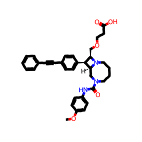 COc1ccc(NC(=O)N2CCCCN3[C@H](COCCC(=O)O)[C@H](c4ccc(C#Cc5ccccc5)cc4)[C@@H]3C2)cc1